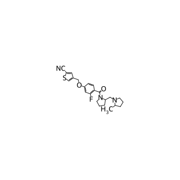 CC1CCCN1CC1CCCN1C(=O)c1ccc(OCc2csc(C#N)c2)cc1F